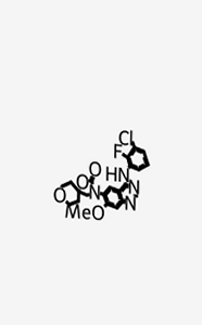 COc1cc2ncnc(Nc3cccc(Cl)c3F)c2cc1N1CC2(CCOCC2)OC1=O